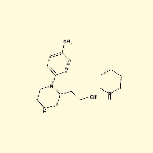 C1CCNCC1.Nc1ccc(N2CCNCC2CCO)cc1